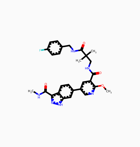 CNC(=O)c1n[nH]c2cc(-c3cnc(OC)c(C(=O)NCC(C)(C)C(=O)NCc4ccc(F)cc4)c3)ccc12